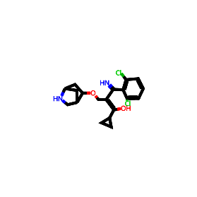 N=C(/C(COC1CC2CC1CN2)=C(\O)C1CC1)c1c(Cl)cccc1Cl